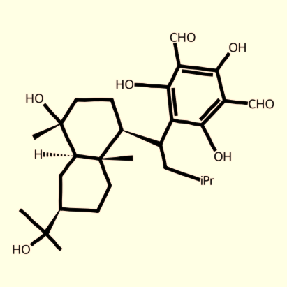 CC(C)CC(c1c(O)c(C=O)c(O)c(C=O)c1O)[C@@H]1CC[C@@](C)(O)[C@@H]2C[C@H](C(C)(C)O)CC[C@]21C